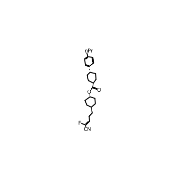 CCCc1ccc([C@H]2CC[C@H](C(=O)O[C@H]3CC[C@H](CCC=C(F)C#N)CC3)CC2)cc1